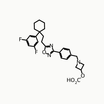 O=C(O)OC1CN(Cc2ccc(-c3noc(CCC4(c5cc(F)cc(F)c5)CCCCC4)n3)cc2)C1